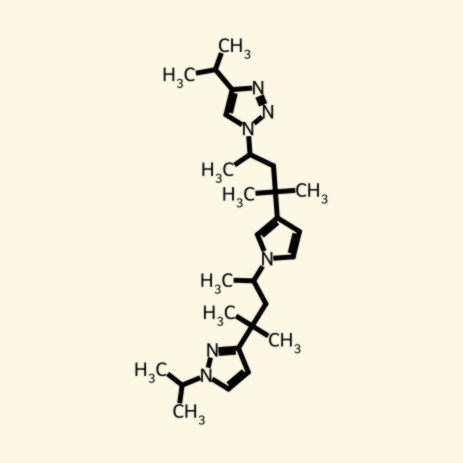 CC(C)c1cn(C(C)CC(C)(C)c2ccn(C(C)CC(C)(C)c3ccn(C(C)C)n3)c2)nn1